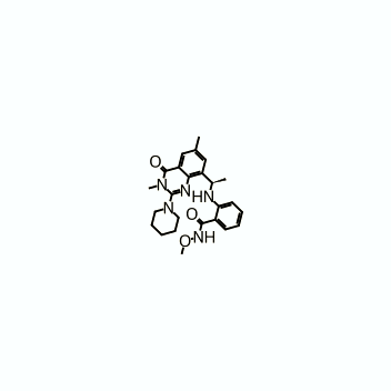 CONC(=O)c1ccccc1N[C@H](C)c1cc(C)cc2c(=O)n(C)c(N3CCCCC3)nc12